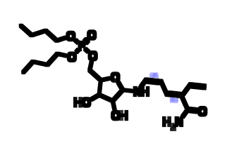 C=C/C(=C\C=C/NC1OC(COP(=O)(OCCCC)OCCCC)C(O)C1O)C(N)=O